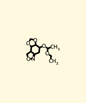 CCOC(C)OC1CC2=NOCC2C2OCOC12